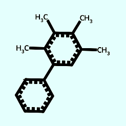 Cc1cc(-c2[c]cccc2)c(C)c(C)c1C